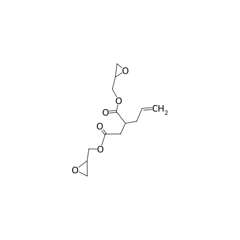 C=CCC(CC(=O)OCC1CO1)C(=O)OCC1CO1